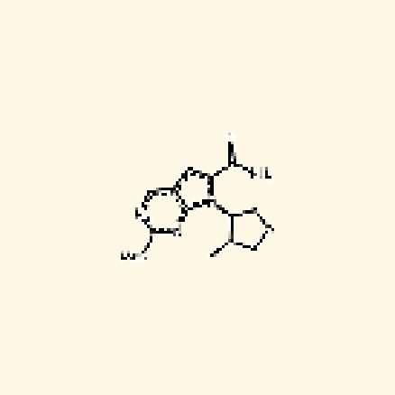 CSc1ncc2cc(C(N)=O)n([C@H]3COC[C@H]3C)c2n1